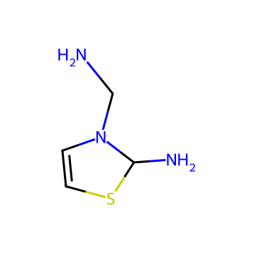 NCN1C=CSC1N